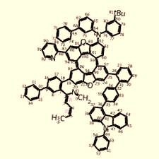 C=N/C(=C\C=C/C)c1cc(-c2ccccc2)ccc1-c1cc2oc3cc(-c4ccccc4-c4ccc(-c5cccc6c5c5ccccc5n6-c5ccccc5)cc4)cc4c5ccc(N(c6cccc(-c7ccccc7)c6)c6cccc(C(C)(C)C)c6)c6oc7cc(-c8ccccn8)cc(c(c1)c2c34)c7c65